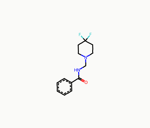 O=C(NCN1CCC(F)(F)CC1)c1ccccc1